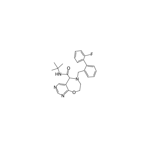 CC(C)(C)NC(=O)C1c2cncnc2OCCN1Cc1ccccc1-c1ccccc1F